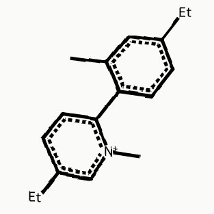 CCc1ccc(-c2ccc(CC)c[n+]2C)c(C)c1